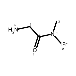 CC(C)N(C)C(=O)CN